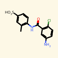 Cc1cc(S(=O)(=O)O)ccc1NC(=O)c1cc(N)ccc1Cl